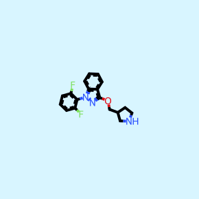 Fc1cccc(F)c1-n1nc(OCC2CCNC2)c2ccccc21